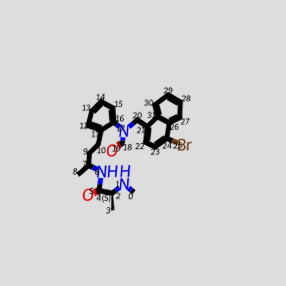 CN[C@@H](C)C(=O)NC(C)CCc1ccccc1N(C=O)Cc1ccc(Br)c2ccccc12